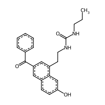 CCCNC(=O)NCCc1cc(C(=O)c2ccccc2)cc2ccc(O)cc12